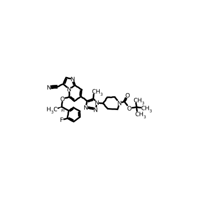 Cc1c(-c2cc(O[C@H](C)c3ccccc3F)n3c(C#N)cnc3c2)nnn1C1CCN(C(=O)OC(C)(C)C)CC1